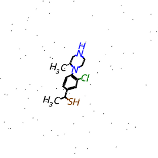 CC(S)c1ccc(N2CCNC[C@H]2C)c(Cl)c1